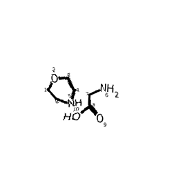 C1COCCN1.NCC(=O)O